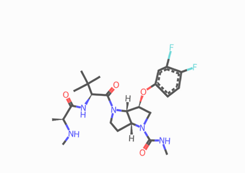 CNC(=O)N1C[C@H](Oc2ccc(F)c(F)c2)[C@@H]2[C@H]1CCN2C(=O)[C@@H](NC(=O)[C@H](C)NC)C(C)(C)C